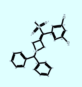 CS(=O)(=O)C(=C1CN(C(c2ccccc2)c2ccccc2)C1)c1cc(Cl)cc(Cl)c1